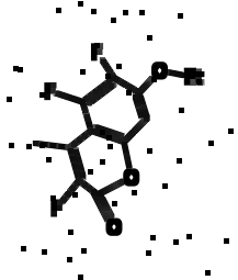 CCOc1cc2oc(=O)c(F)c(C)c2c(F)c1F